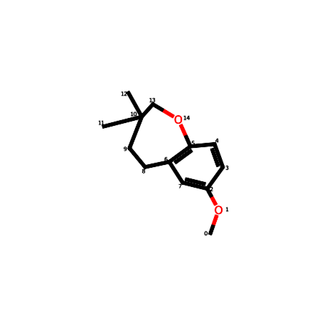 COc1ccc2c(c1)CCC(C)(C)CO2